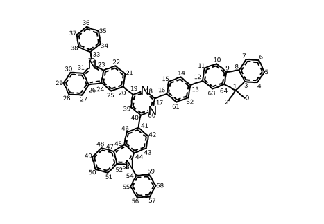 CC1(C)c2ccccc2-c2ccc(-c3ccc(-c4nc(-c5ccc6c(c5)c5ccccc5n6-c5ccccc5)cc(-c5ccc6c(c5)c5ccccc5n6-c5ccccc5)n4)cc3)cc21